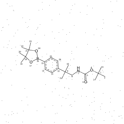 CC(C)(C)OC(=O)NCC(C)(C)c1ccc(B2OC(C)(C)C(C)(C)O2)cc1